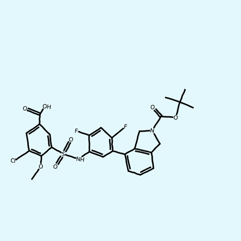 COc1c(Cl)cc(C(=O)O)cc1S(=O)(=O)Nc1cc(-c2cccc3c2CN(C(=O)OC(C)(C)C)C3)c(F)cc1F